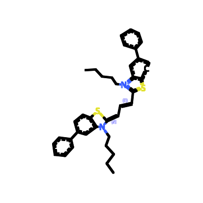 CCCCCN1/C(=C/C=C/c2sc3ccc(-c4ccccc4)cc3[n+]2CCCCC)Sc2ccc(-c3ccccc3)cc21